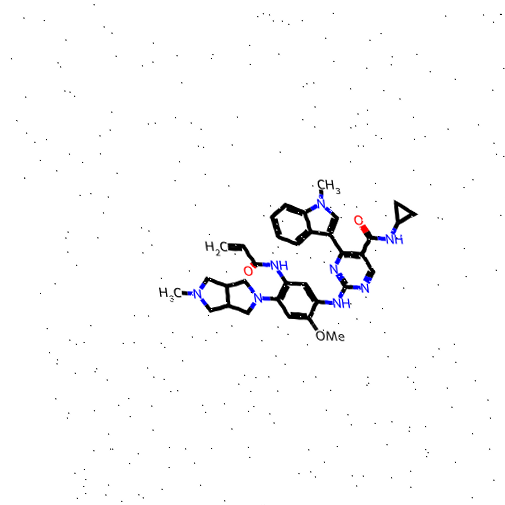 C=CC(=O)Nc1cc(Nc2ncc(C(=O)NC3CC3)c(-c3cn(C)c4ccccc34)n2)c(OC)cc1N1CC2CN(C)CC2C1